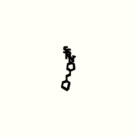 CN(N=S=S)c1ccc(/C=C/c2ccccc2)cc1